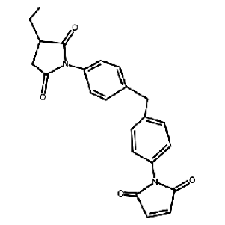 CCC1CC(=O)N(c2ccc(Cc3ccc(N4C(=O)C=CC4=O)cc3)cc2)C1=O